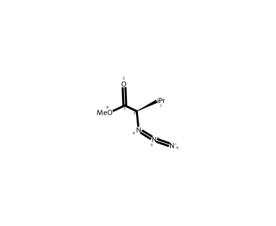 COC(=O)[C@H](N=[N+]=[N-])C(C)C